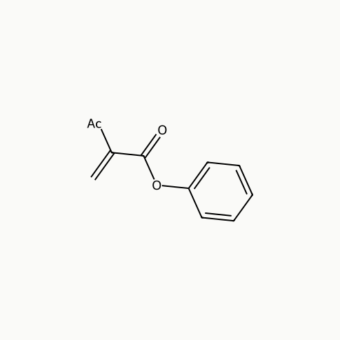 C=C(C(C)=O)C(=O)Oc1ccccc1